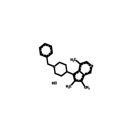 Cc1cocc2c(C)c(C)c(C3CCN(Cc4ccccc4)CC3)c1-2.Cl